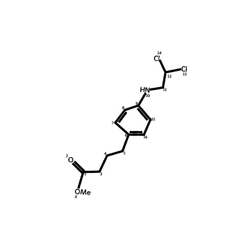 COC(=O)CCCc1ccc(NCC(Cl)Cl)cc1